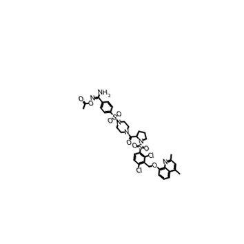 CC(=O)O/N=C(/N)c1ccc(S(=O)(=O)N2CCN(C(=O)C3CCCN3S(=O)(=O)c3ccc(Cl)c(COc4cccc5c(C)cc(C)nc45)c3Cl)CC2)cc1